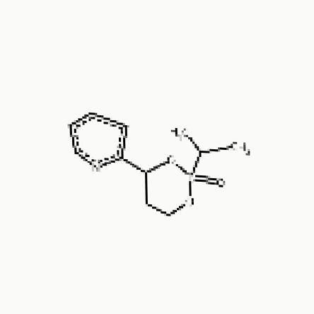 CC(C)P1(=O)OCCC(c2ccccn2)O1